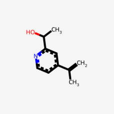 C=C(C)c1ccnc(C(C)O)c1